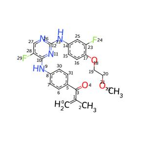 C=C(C)C(=O)c1ccc(Nc2nc(Nc3ccc(OCCOC)c(F)c3)ncc2F)cc1